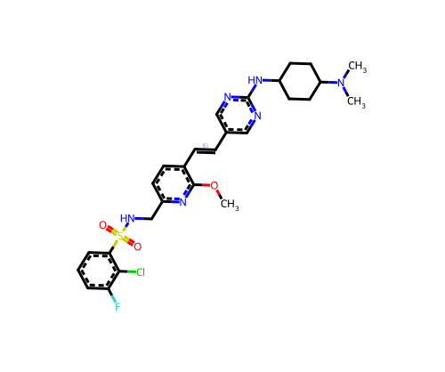 COc1nc(CNS(=O)(=O)c2cccc(F)c2Cl)ccc1/C=C/c1cnc(NC2CCC(N(C)C)CC2)nc1